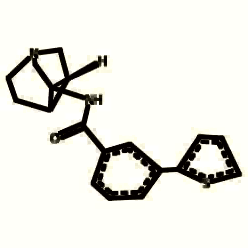 O=C(N[C@H]1CN2CCC1CC2)c1cccc(-c2cccs2)c1